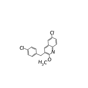 COc1nc2ccc(Cl)cc2cc1Cc1ccc(Cl)cc1